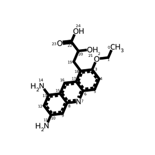 CCOc1ccc2nc3cc(N)cc(N)c3cc2c1CC(O)C(=O)O